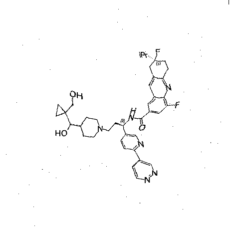 CC(C)[C@]1(F)CCc2nc3c(F)cc(C(=O)N[C@H](CCN4CCC(C(O)C5(CO)CC5)CC4)c4ccc(-c5ccnnc5)nc4)cc3cc2C1